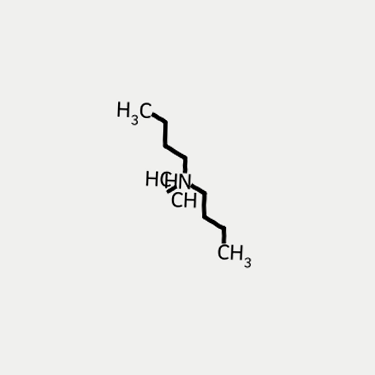 C#C.CCCCNCCCC